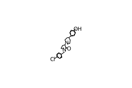 O=C1C(N2CCC(c3ccc(O)cc3)CC2)CCN1Cc1ccc(Cl)cc1